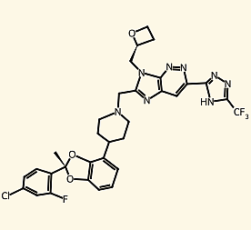 C[C@]1(c2ccc(Cl)cc2F)Oc2cccc(C3CCN(Cc4nc5cc(-c6nnc(C(F)(F)F)[nH]6)nnc5n4C[C@@H]4CCO4)CC3)c2O1